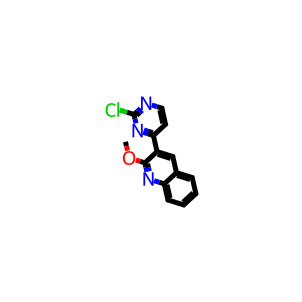 COc1nc2ccccc2cc1-c1ccnc(Cl)n1